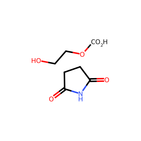 O=C(O)OCCO.O=C1CCC(=O)N1